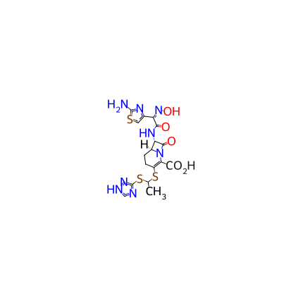 CC(SC1=C(C(=O)O)N2C(=O)[C@@H](NC(=O)/C(=N\O)c3csc(N)n3)[C@@H]2CC1)Sc1nc[nH]n1